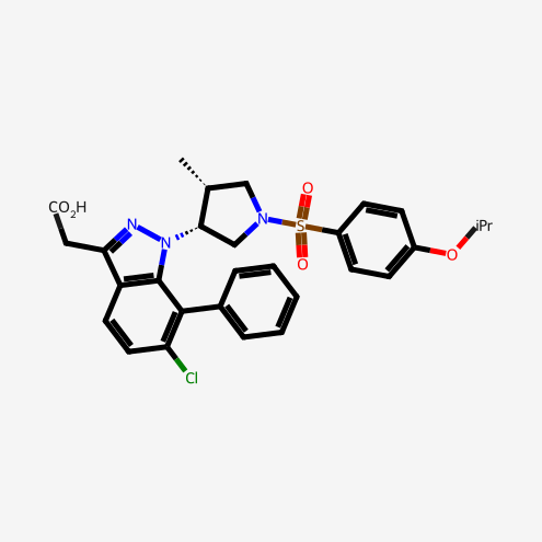 CC(C)Oc1ccc(S(=O)(=O)N2C[C@@H](C)[C@@H](n3nc(CC(=O)O)c4ccc(Cl)c(-c5ccccc5)c43)C2)cc1